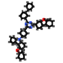 c1ccc(-c2cccc(-c3nc(-c4ccc(-n5c6ccccc6c6c7oc8ccccc8c7ccc65)cc4)nc(-c4ccc5c(c4)oc4ccccc45)n3)c2)cc1